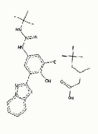 CC(C)(C)NC(=S)Nc1cc(Cl)c(O)c(-c2nc3ccccc3s2)c1.CC(CC(=O)O)CC(C)(C)C